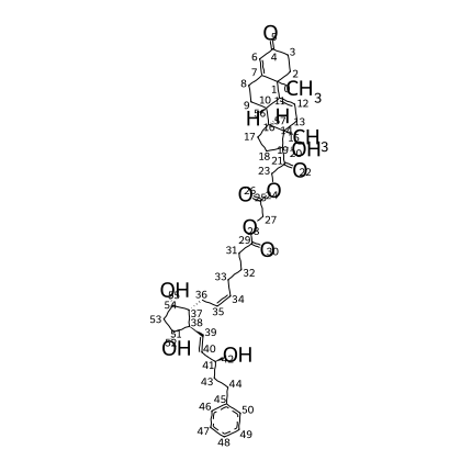 CC12CCC(=O)C=C1CC[C@@H]1C2=CCC2(C)[C@H]1CC[C@]2(O)C(=O)COC(=O)COC(=O)CCC/C=C\C[C@@H]1[C@@H](/C=C/[C@@H](O)CCc2ccccc2)[C@H](O)C[C@@H]1O